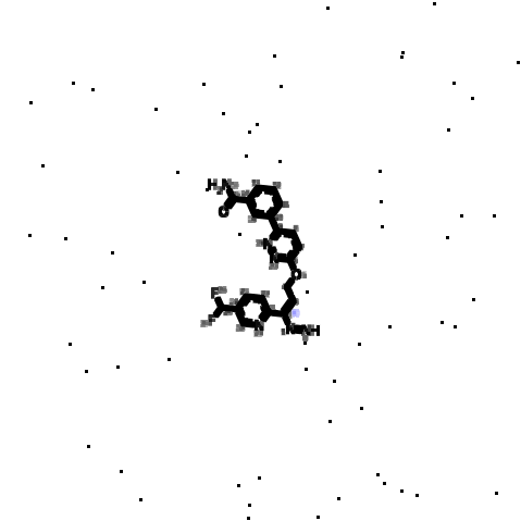 N=N/C(=C/COc1ccc(-c2cccc(C(N)=O)c2)nn1)c1ccc(C(F)F)cn1